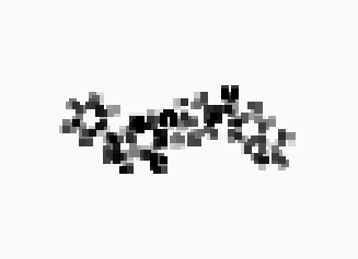 CC(F)(F)c1ccc(C(=O)N2CCC(O)(Cn3cnc4c(cnn4-c4ccccc4)c3=O)CC2)cc1